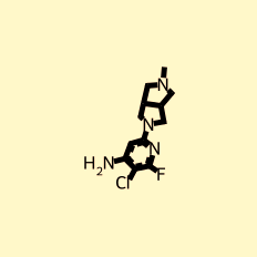 CN1CC2CN(c3cc(N)c(Cl)c(F)n3)CC2C1